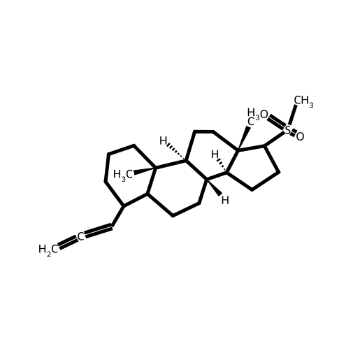 C=C=CC1CCC[C@@]2(C)C1CC[C@@H]1[C@@H]2CC[C@]2(C)C(S(C)(=O)=O)CC[C@@H]12